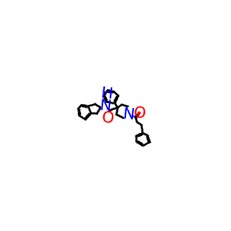 O=C(CCc1ccccc1)N1CCC(C(=O)NC2Cc3ccccc3C2)(c2ccccc2)CC1